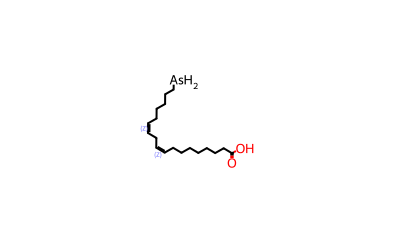 O=C(O)CCCCCCC/C=C\C/C=C\CCCCC[AsH2]